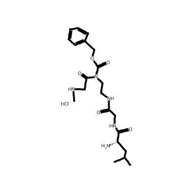 CNCC(=O)N(CCNC(=O)CNC(=O)[C@@H](N)CC(C)C)C(=O)OCc1ccccc1.Cl